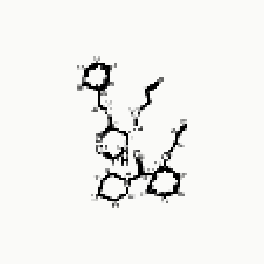 C=CCOC[C@H](NC(=O)[C@@H]1CCCCN1C(=O)c1ccccc1OCC=C)C(=O)OCc1ccccc1